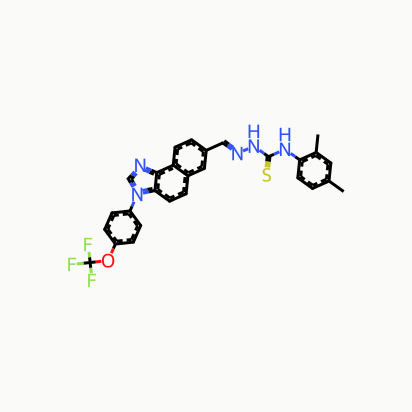 Cc1ccc(NC(=S)NN=Cc2ccc3c(ccc4c3ncn4-c3ccc(OC(F)(F)F)cc3)c2)c(C)c1